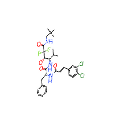 CC(C)C(NC(=O)C(Cc1ccccc1)NC(=O)/C=C/c1ccc(Cl)c(Cl)c1)C(=O)C(F)(F)C(=O)NCC(C)(C)C